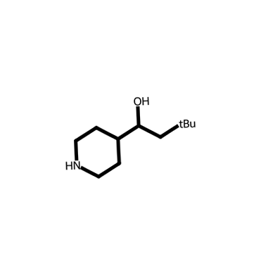 CC(C)(C)CC(O)C1CCNCC1